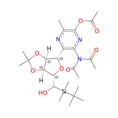 CC(=O)Oc1nc(N(C(C)=O)C(C)=O)c([C@@H]2O[C@H](C(O)[Si](C)(C)C(C)(C)C)[C@H]3OC(C)(C)O[C@H]32)nc1C